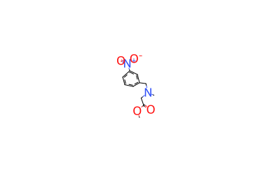 COC(=O)CN(C)Cc1cccc([N+](=O)[O-])c1